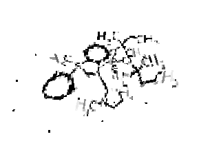 CCC(C)(C)OP(=S)(O[C@H](C[Si](C)(c1ccccc1)c1ccccc1)[C@@H]1CCCN1C)OC(C)(C)CC